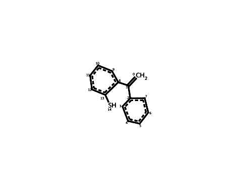 C=C(c1ccccc1)c1ccccc1S